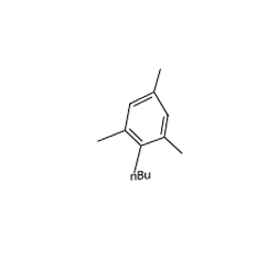 CCCCc1c(C)cc(C)cc1C